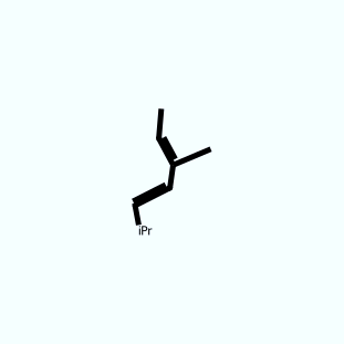 CC=C(C)C=CC(C)C